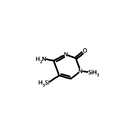 Nc1nc(=O)n([SiH3])cc1[SiH3]